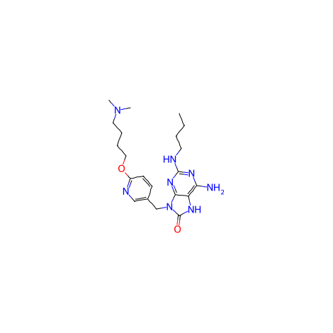 CCCCNc1nc(N)c2[nH]c(=O)n(Cc3ccc(OCCCCN(C)C)nc3)c2n1